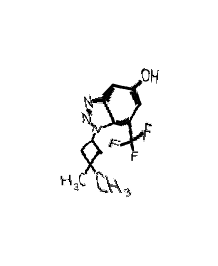 CC1(C)CC(n2nnc3cc(O)cc(C(F)(F)F)c32)C1